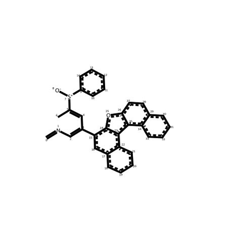 C=N/C=C(\C=C(/C)[S+]([O-])c1ccccc1)c1cc2ccccc2c2c1oc1ccc3ccccc3c12